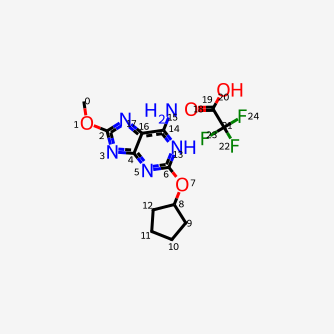 COc1nc2nc(OC3CCCC3)[nH]c(N)c-2n1.O=C(O)C(F)(F)F